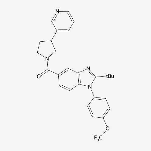 CC(C)(C)c1nc2cc(C(=O)N3CCC(c4cccnc4)C3)ccc2n1-c1ccc(OC(F)(F)F)cc1